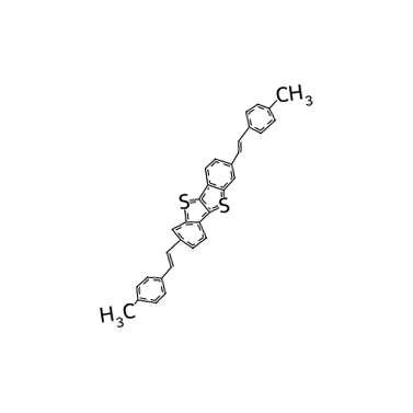 Cc1ccc(/C=C/c2ccc3c(c2)sc2c4ccc(/C=C/c5ccc(C)cc5)cc4sc32)cc1